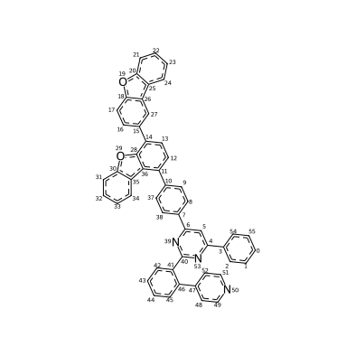 c1ccc(-c2cc(-c3ccc(-c4ccc(-c5ccc6oc7ccccc7c6c5)c5oc6ccccc6c45)cc3)nc(-c3ccccc3-c3ccncc3)n2)cc1